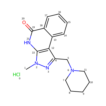 Cl.Cn1nc(CN2CCCCC2)c2c3ccccc3c(=O)[nH]c21